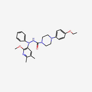 CCOc1ccc(N2CCN(C(=O)NN(c3ccccc3)c3cc(C)c(C)nc3OC)CC2)cc1